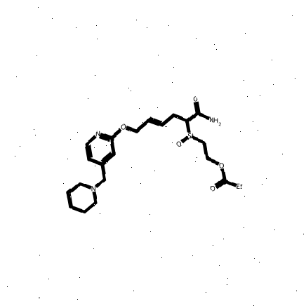 CCC(=O)OCC[S+]([O-])C(CC=CCOc1cc(CN2CCCCC2)ccn1)C(N)=O